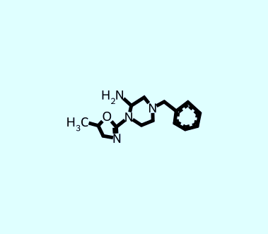 CC1CN=C(N2CCN(Cc3ccccc3)CC2N)O1